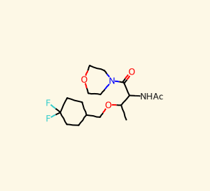 CC(=O)NC(C(=O)N1CCOCC1)C(C)OCC1CCC(F)(F)CC1